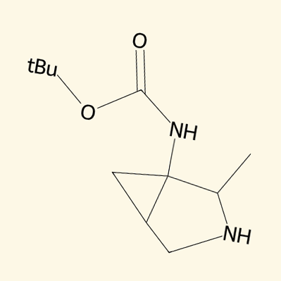 CC1NCC2CC21NC(=O)OC(C)(C)C